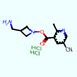 Cc1ncc(C#N)cc1C(=O)ON1CC(CN)C1.Cl.Cl